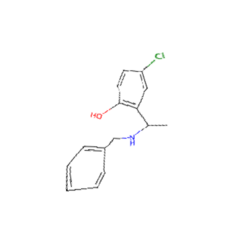 CC(NCc1ccccc1)c1cc(Cl)ccc1O